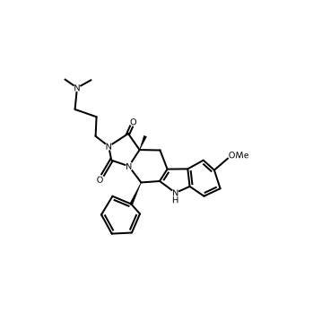 COc1ccc2[nH]c3c(c2c1)C[C@@]1(C)C(=O)N(CCCN(C)C)C(=O)N1[C@@H]3c1ccccc1